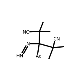 CC(=O)C(N=N)(C(C)(C)C#N)C(C)(C)C#N